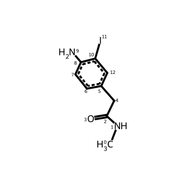 CNC(=O)Cc1ccc(N)c(I)c1